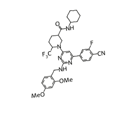 COc1ccc(CNc2nc(-c3ccc(C#N)c(F)c3)cc(N3CC(C(=O)NC4CCCCC4)CCC3C(F)(F)F)n2)c(OC)c1